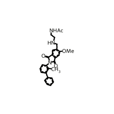 COc1cc2c(cc1CNCCNC(C)=O)C(=O)N(c1cccc(-c3ccccc3)c1C)C2=O